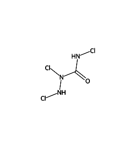 O=C(NCl)N(Cl)NCl